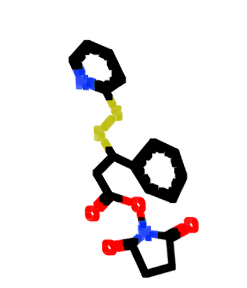 O=C(CC(SSc1ccccn1)c1ccccc1)ON1C(=O)CCC1=O